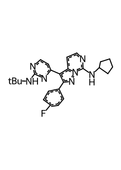 CC(C)(C)Nc1nccc(-c2c(-c3ccc(F)cc3)nn3c(NC4CCCC4)nccc23)n1